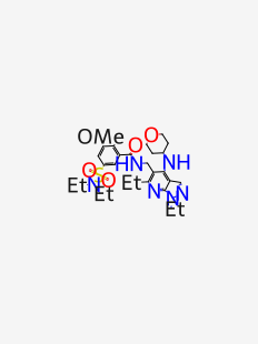 CCc1nc2c(cnn2CC)c(NC2CCOCC2)c1CNC(=O)c1cc(S(=O)(=O)N(CC)CC)ccc1OC